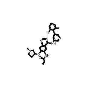 C=CC(=O)Nc1cc2c(Nc3cncc(-c4c(F)cccc4F)c3)ncnc2cc1OC1CCN(C)C1